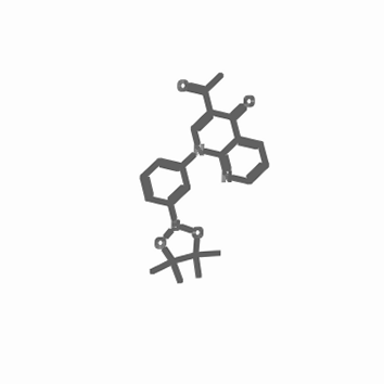 CC(=O)c1cn(-c2cccc(B3OC(C)(C)C(C)(C)O3)c2)c2ncccc2c1=O